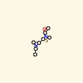 c1ccc(-c2ccc(-n3c4ccccc4c4cc(-c5ccc6c(c5)Sc5ccccc5N6c5ccc6oc7ccccc7c6c5)ccc43)cc2)cc1